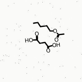 CCCCCOC(C)=O.O=C(O)CCC(=O)O